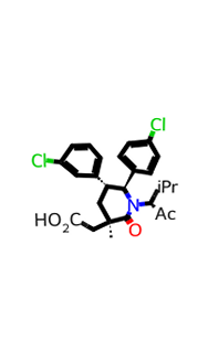 CC(=O)[C@H](C(C)C)N1C(=O)[C@@](C)(CC(=O)O)C[C@H](c2cccc(Cl)c2)[C@H]1c1ccc(Cl)cc1